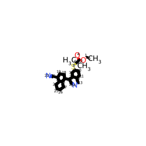 CCOC(=O)C(C)(C)Sc1ccc2cncc(-c3ccc(C#N)c4ccccc34)c2c1